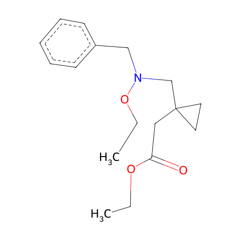 CCOC(=O)CC1(CN(Cc2ccccc2)OCC)CC1